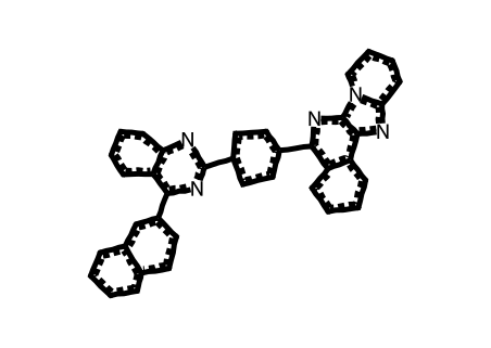 c1ccc2cc(-c3nc(-c4ccc(-c5nc6c(nc7ccccn76)c6ccccc56)cc4)nc4ccccc34)ccc2c1